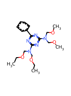 CCOCN(COCC)c1nc(-c2ccccc2)nc(N(COC)COC)n1